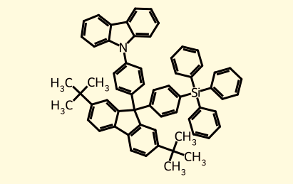 CC(C)(C)c1ccc2c(c1)C(c1ccc(-n3c4ccccc4c4ccccc43)cc1)(c1ccc([Si](c3ccccc3)(c3ccccc3)c3ccccc3)cc1)c1cc(C(C)(C)C)ccc1-2